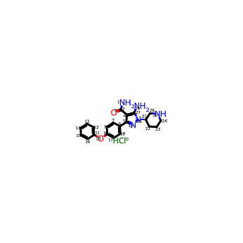 Cl.NC(=O)c1c(-c2ccc(Oc3ccccc3)cc2)nn([C@@H]2CCCNC2)c1N